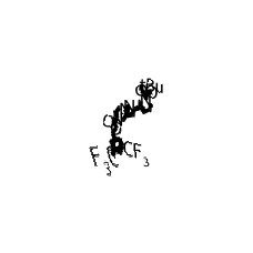 CC(C)(C)OC(=O)N1CCC=C(c2cc3n(n2)CCN(C(=O)OCc2cc(C(F)(F)F)cc(C(F)(F)F)c2)C3)C1